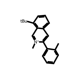 Cc1ccccc1-c1cc2cccc(C(C)(C)C)c2c[n+]1C